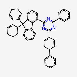 C1=CC(C2(C3=CCCC=C3)c3ccccc3-c3c(-c4nc(C5=CCC(c6ccccc6)C=C5)nc(-c5ccccc5)n4)cccc32)=CCC1